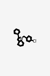 Clc1ccc(Cn2c(-c3ccccc3)cc3ccccc32)cc1